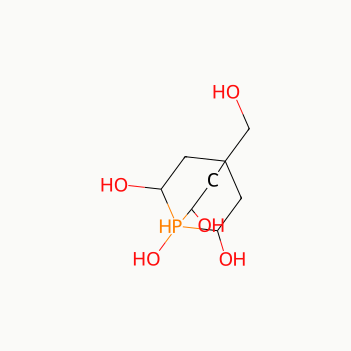 OCC12CC(O)[PH](O)(C(O)C1)C(O)C2